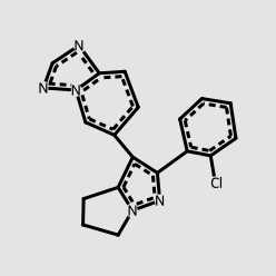 Clc1ccccc1-c1nn2c(c1-c1ccc3ncnn3c1)CCC2